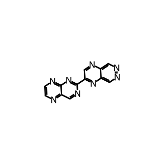 c1cnc2nc(-c3cnc4cnncc4n3)ncc2n1